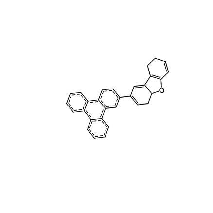 C1=CC2=C(CC1)C1=CC(c3ccc4c5ccccc5c5ccccc5c4c3)=CCC1O2